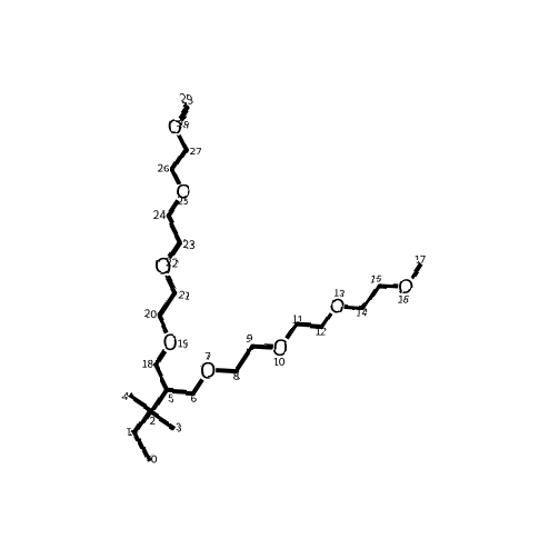 CCC(C)(C)C(COCCOCCOCCOC)COCCOCCOCCOC